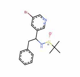 CC(C)(C)[S@@+]([O-])NC(Cc1ccccc1)c1cncc(Br)c1